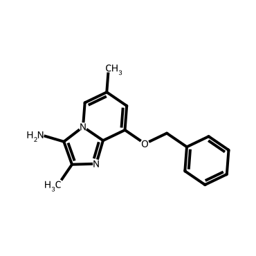 Cc1cc(OCc2ccccc2)c2nc(C)c(N)n2c1